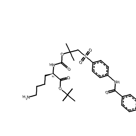 CC(C)(C)OC(=O)[C@@H](CCCCN)NC(=O)OC(C)(C)CS(=O)(=O)c1ccc(NC(=O)c2ccccc2)cc1